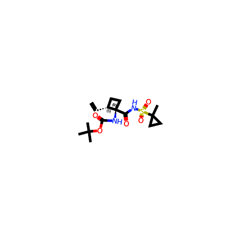 C=C[C@@H]1CC[C@]1(NC(=O)OC(C)(C)C)C(=O)NS(=O)(=O)C1(C)CC1